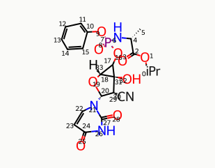 CC(C)OC(=O)[C@@H](C)NP(=O)(Oc1ccccc1)OC1[C@H]2O[C@@H](n3ccc(=O)[nH]c3=O)[C@H](C#N)[C@@]12O